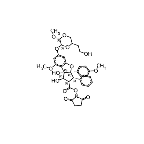 COc1ccc([C@@]23Oc4cc(O[C@@H]5OC(CCO)CO[C@H]5OC)cc(OC)c4[C@]2(O)[C@H](O)[C@H](C(=O)ON2C(=O)CCC2=O)[C@H]3c2ccccc2)cc1